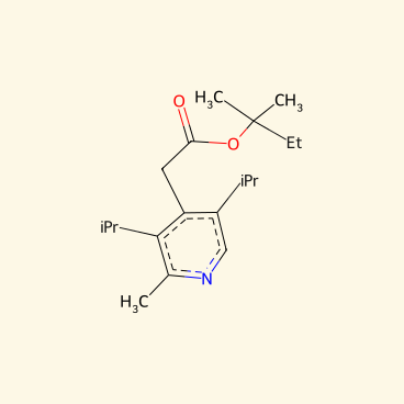 CCC(C)(C)OC(=O)Cc1c(C(C)C)cnc(C)c1C(C)C